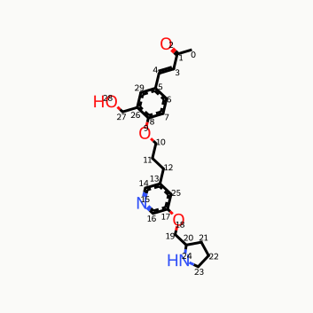 CC(=O)/C=C/c1ccc(OCCCc2cncc(OCC3CCCN3)c2)c(CO)c1